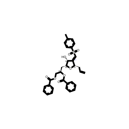 C=CC[C@@H]1O[C@H](C[C@H](COC(=O)c2ccccc2)OC(=O)c2ccccc2)[C@H](O)/C1=C\S(=O)(=O)c1ccc(C)cc1